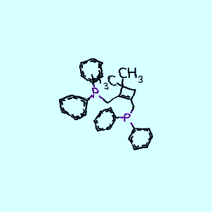 CC1(C)CC(CP(c2ccccc2)c2ccccc2)=C1CP(c1ccccc1)c1ccccc1